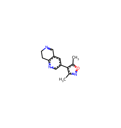 Cc1noc(C)c1-c1cnc2c(c1)C=NCC2